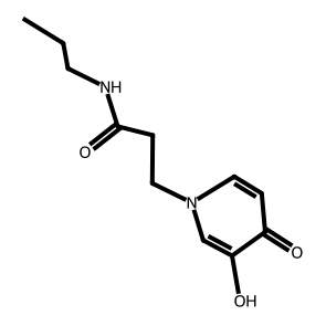 CCCNC(=O)CCn1ccc(=O)c(O)c1